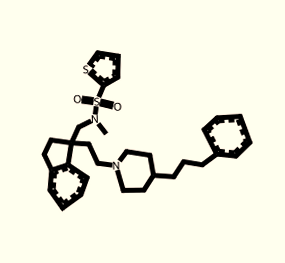 CN(CC1(CCN2CCC(CCCc3ccccc3)CC2)CCc2ccccc21)S(=O)(=O)c1cccs1